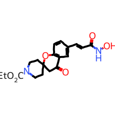 CCOC(=O)N1CCC2(CC1)CC(=O)c1cc(C=CC(=O)NO)ccc1O2